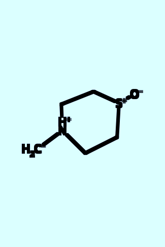 [CH2-][NH+]1CC[S+]([O-])CC1